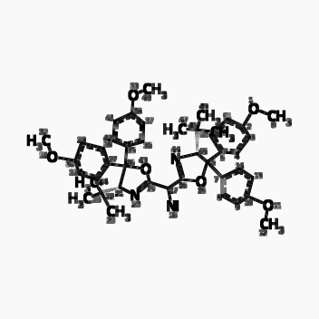 COc1ccc(C2(c3ccc(OC)cc3)OC([CH]([Ni])C3=N[C@H](C(C)(C)C)C(c4ccc(OC)cc4)(c4ccc(OC)cc4)O3)=N[C@@H]2C(C)(C)C)cc1